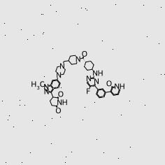 Cn1nc(C2CCC(=O)NC2=O)c2ccc(N3CCN(CC4CCN(C(=O)[C@H]5CC[C@H](Nc6ncc(F)c(-c7cccc(-c8ccc[nH]c8=O)c7)n6)CC5)CC4)CC3)cc21